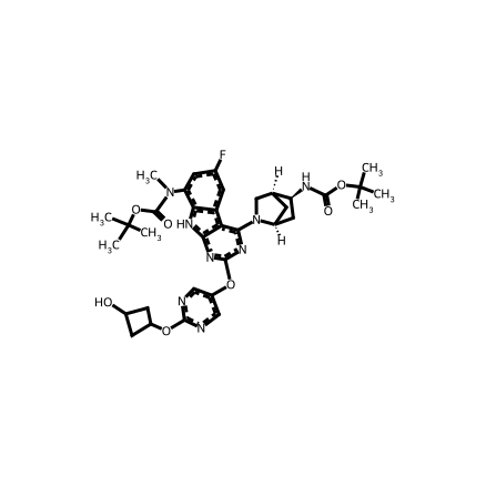 CN(C(=O)OC(C)(C)C)c1cc(F)cc2c1[nH]c1nc(Oc3cnc(OC4CC(O)C4)nc3)nc(N3C[C@@H]4C[C@H]3C[C@@H]4NC(=O)OC(C)(C)C)c12